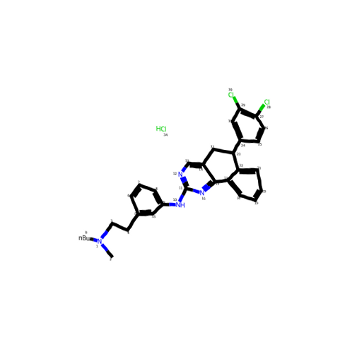 CCCCN(C)CCc1cccc(Nc2ncc3c(n2)-c2ccccc2C(c2ccc(Cl)c(Cl)c2)C3)c1.Cl